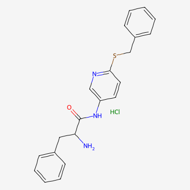 Cl.NC(Cc1ccccc1)C(=O)Nc1ccc(SCc2ccccc2)nc1